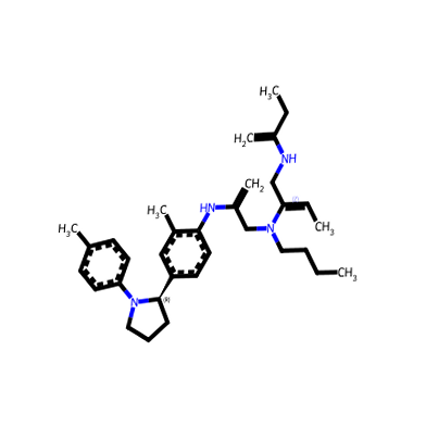 C=C(CC)NC/C(=C/C)N(CCCC)CC(=C)Nc1ccc([C@H]2CCCN2c2ccc(C)cc2)cc1C